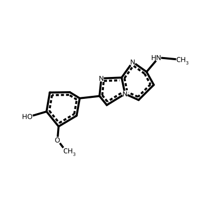 CNc1ccn2cc(-c3ccc(O)c(OC)c3)nc2n1